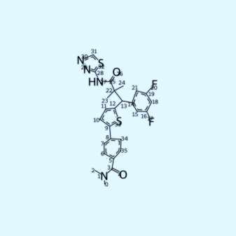 CN(C)C(=O)c1ccc(-c2ccc(C(c3cc(F)cc(F)c3)C(C)(C)C(=O)Nc3nncs3)s2)cc1